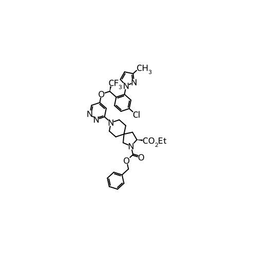 CCOC(=O)[C@@H]1CC2(CCN(c3cc(O[C@H](c4ccc(Cl)cc4-n4ccc(C)n4)C(F)(F)F)cnn3)CC2)CN1C(=O)OCc1ccccc1